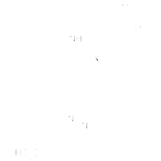 C[C@H](N)[C@H](Oc1ccc2c(cnn2-c2cccc(C(=O)O)c2)c1)c1ccc2c(c1)OCCO2